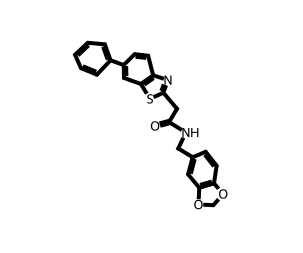 O=C(Cc1nc2ccc(-c3ccccc3)cc2s1)NCc1ccc2c(c1)OCO2